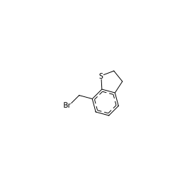 BrCc1cccc2c1SCC2